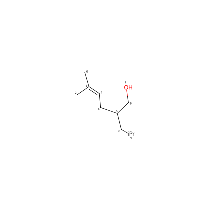 CC(C)=CCC(CO)CC(C)C